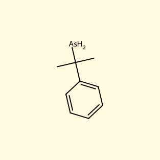 CC(C)([AsH2])c1ccccc1